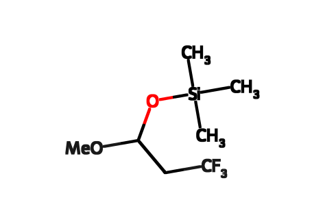 COC(CC(F)(F)F)O[Si](C)(C)C